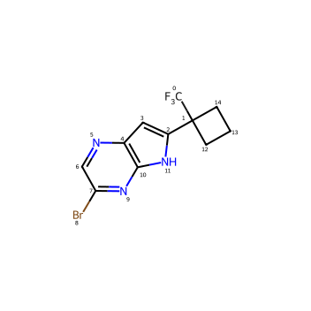 FC(F)(F)C1(c2cc3ncc(Br)nc3[nH]2)CCC1